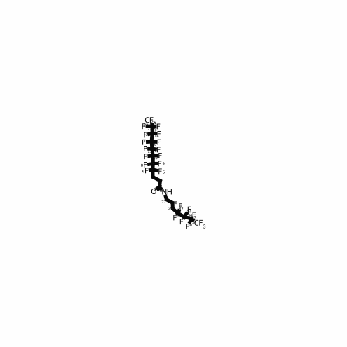 O=C(CCC(F)(F)C(F)(F)C(F)(F)C(F)(F)C(F)(F)C(F)(F)C(F)(F)C(F)(F)F)NCCCC(F)(F)C(F)(F)C(F)(F)C(F)(F)F